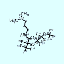 CN(C)CCCNC(=O)C(F)(OC(F)(F)C(F)(F)OC(F)(F)F)C(F)(F)F